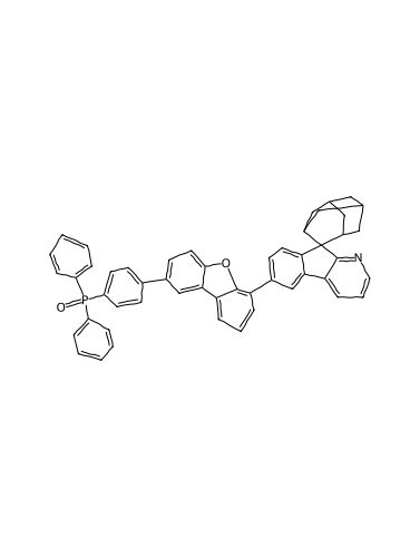 O=P(c1ccccc1)(c1ccccc1)c1ccc(-c2ccc3oc4c(-c5ccc6c(c5)-c5cccnc5C65C6CC7CC(C6)CC5C7)cccc4c3c2)cc1